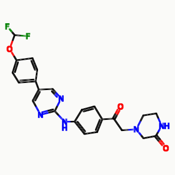 O=C1CN(CC(=O)c2ccc(Nc3ncc(-c4ccc(OC(F)F)cc4)cn3)cc2)CCN1